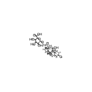 C[C@]12C[C@H](O)[C@H]3[C@@H](CCC4=CC(=O)CC[C@@]43C)[C@@H]1CC[C@@H]2C(=O)COC1O[C@H](C(=O)O)[C@@H](O)[C@H](O)[C@H]1O